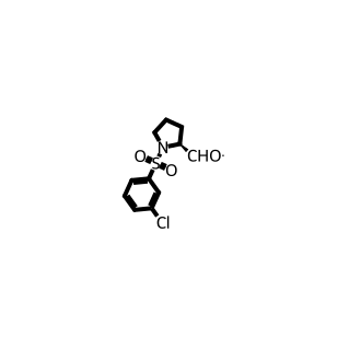 O=[C][C@@H]1CCCN1S(=O)(=O)c1cccc(Cl)c1